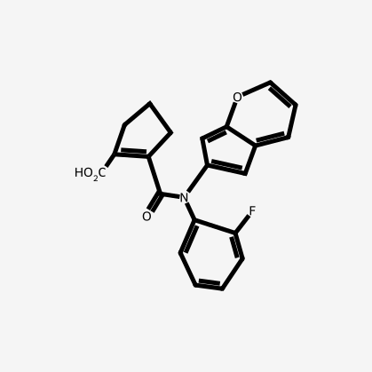 O=C(O)C1=C(C(=O)N(c2cc3cccoc-3c2)c2ccccc2F)CCC1